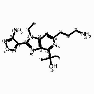 CCn1c(-c2nonc2N)nc2c(C(C)(C)O)nc(CCCN)cc21